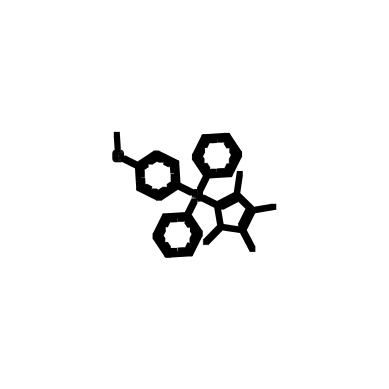 COc1ccc([Si](C2=C(C)C(C)=C(C)C2C)(c2ccccc2)c2ccccc2)cc1